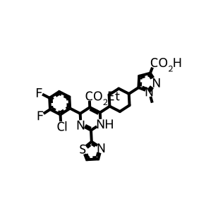 CCOC(=O)C1=C(C2CCC(c3cc(C(=O)O)nn3C)CC2)NC(c2nccs2)=NC1c1ccc(F)c(F)c1Cl